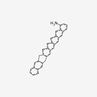 Nc1cccc2cc3cc4cc5cc6c(cc5cc4cc3cc12)Cc1cc2ccccc2cc1C6